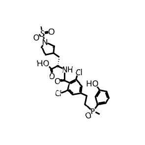 CP(=O)(CCc1cc(Cl)c(C(=O)N[C@@H](CC2CCN(S(C)(=O)=O)C2)C(=O)O)c(Cl)c1)c1cccc(O)c1